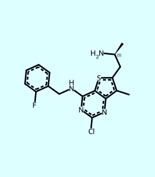 Cc1c(C[C@H](C)N)sc2c(NCc3ccccc3F)nc(Cl)nc12